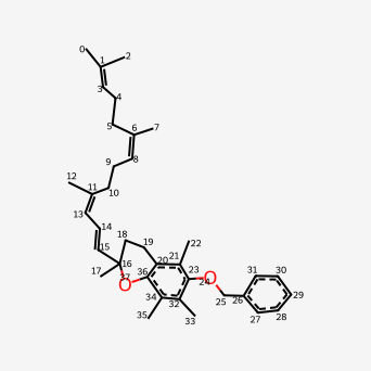 CC(C)=CCCC(C)=CCCC(C)=CC=CC1(C)CCc2c(C)c(OCc3ccccc3)c(C)c(C)c2O1